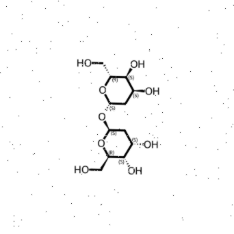 OC[C@H]1O[C@@H](O[C@H]2C[C@H](O)[C@H](O)[C@@H](CO)O2)C[C@H](O)[C@@H]1O